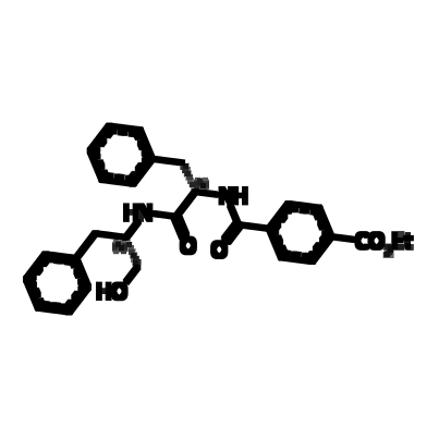 CCOC(=O)c1ccc(C(=O)N[C@@H](Cc2ccccc2)C(=O)N[C@H](CO)Cc2ccccc2)cc1